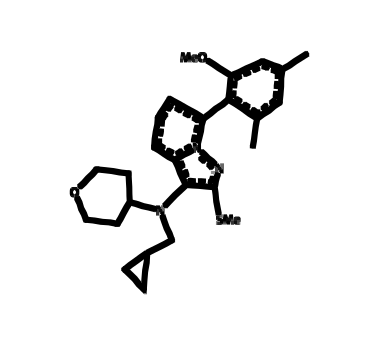 COc1cc(C)cc(C)c1-c1cccc2c(N(CC3CC3)C3CCOCC3)c(SC)nn12